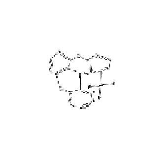 Cc1cccc2c1B1c3c(cccc3Oc3cccc(C(F)(F)F)c31)O2